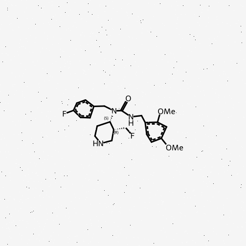 COc1ccc(CNC(=O)N(Cc2ccc(F)cc2)[C@H]2CCNC[C@H]2CF)c(OC)c1